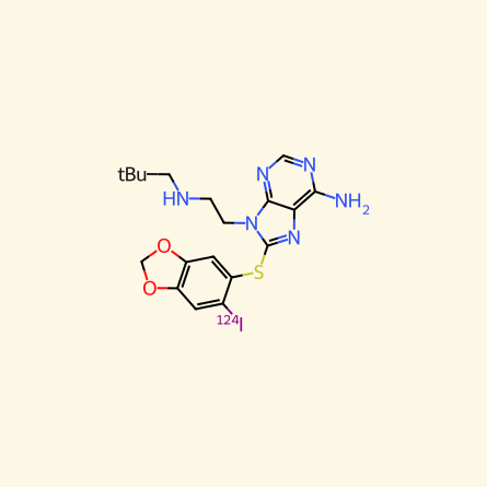 CC(C)(C)CNCCn1c(Sc2cc3c(cc2[124I])OCO3)nc2c(N)ncnc21